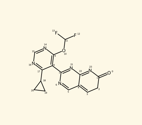 O=C1CC=c2cnc(-c3c(OC(F)F)ncnc3C3CC3)nc2=N1